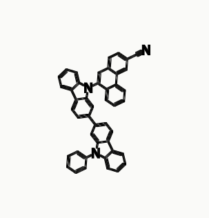 N#Cc1ccc2cc(-n3c4ccccc4c4ccc(-c5ccc6c7ccccc7n(-c7ccccc7)c6c5)cc43)c3ccccc3c2c1